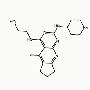 Cc1c2c(nc3nc(NC4CCNCC4)nc(NCCO)c13)CCC2